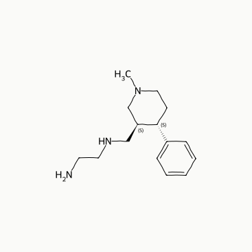 CN1CC[C@H](c2ccccc2)[C@@H](CNCCN)C1